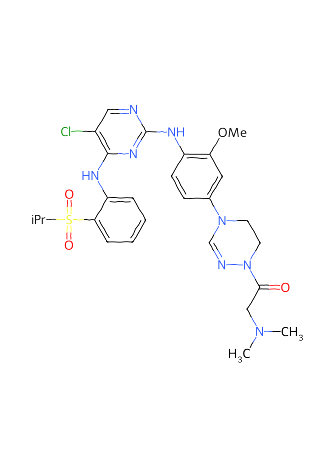 COc1cc(N2C=NN(C(=O)CN(C)C)CC2)ccc1Nc1ncc(Cl)c(Nc2ccccc2S(=O)(=O)C(C)C)n1